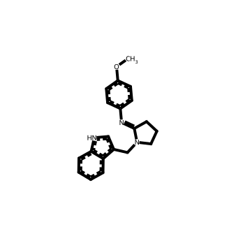 COc1ccc(N=C2CCCN2Cc2c[nH]c3ccccc23)cc1